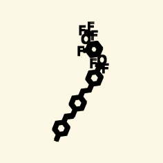 CC1CCC(/C=C/C2CCC(CCC3CCC(C(F)(F)Oc4ccc(OC(F)(F)F)c(F)c4)CC3)CC2)CC1